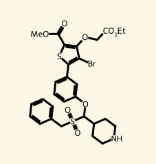 CCOC(=O)COc1c(C(=O)OC)sc(-c2cccc(OC(C3CCNCC3)S(=O)(=O)Cc3ccccc3)c2)c1Br